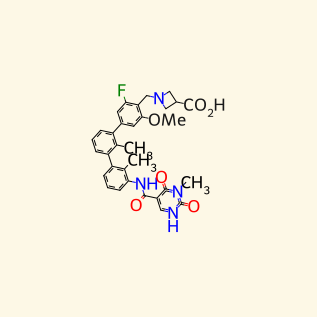 COc1cc(-c2cccc(-c3cccc(NC(=O)c4c[nH]c(=O)n(C)c4=O)c3C)c2C)cc(F)c1CN1CC(C(=O)O)C1